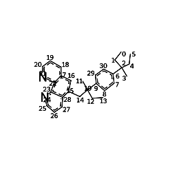 CCC(C)(CC)c1ccc(C(C)(CC)Cc2cc3cccnc3c3ncccc23)cc1